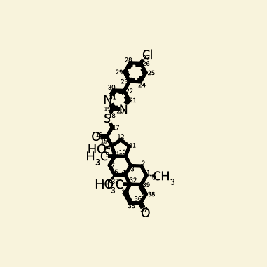 C[C@H]1CC2C([C@@H](O)CC3(C)C2CC[C@]3(O)C(=O)CSc2ncc(-c3ccc(Cl)cc3)cn2)C2(C)C=CC(=O)C=C12